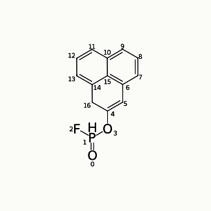 O=[PH](F)OC1=Cc2cccc3cccc(c23)C1